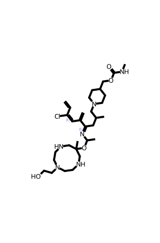 C=C/C(Cl)=C\C(=C)/C(CC(C)CN1CCC(COC(=O)NC)CC1)=N/C(C)OC1(C)CNCCN(CCO)CCNC1